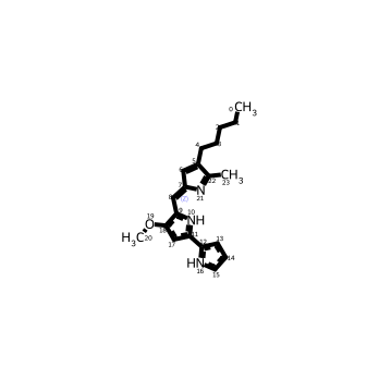 CCCCCC1=C/C(=C/c2[nH]c(-c3ccc[nH]3)cc2OC)N=C1C